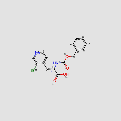 O=C(N/C(=C\c1ccncc1Br)C(=O)O)OCc1ccccc1